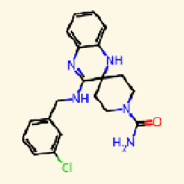 NC(=O)N1CCC2(CC1)Nc1ccccc1N=C2NCc1cccc(Cl)c1